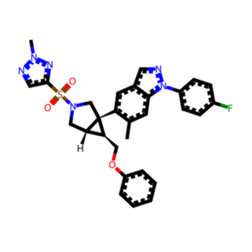 Cc1cc2c(cnn2-c2ccc(F)cc2)cc1[C@]12CN(S(=O)(=O)c3cnn(C)n3)C[C@H]1[C@@H]2COc1ccccc1